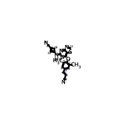 Cc1cc(/C=C/C#N)cc(C)c1Oc1nc(NC23CC(C#N)(C2)C3)nc2ncsc12